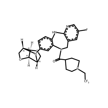 O=C(C1CCN(CC(F)(F)F)CC1)N1Cc2cc(F)cnc2Nc2ccc(N3[C@@H]4CO[C@H]5[C@@H]4OC[C@H]53)cc21